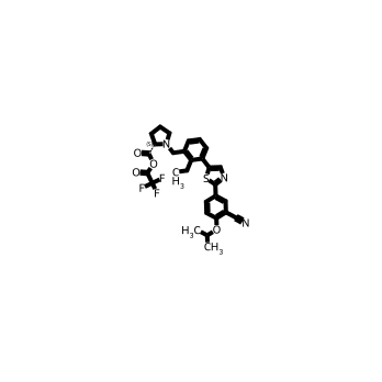 CCc1c(CN2CCC[C@H]2C(=O)OC(=O)C(F)(F)F)cccc1-c1cnc(-c2ccc(OC(C)C)c(C#N)c2)s1